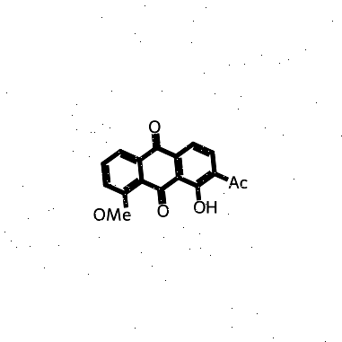 COc1cccc2c1C(=O)c1c(ccc(C(C)=O)c1O)C2=O